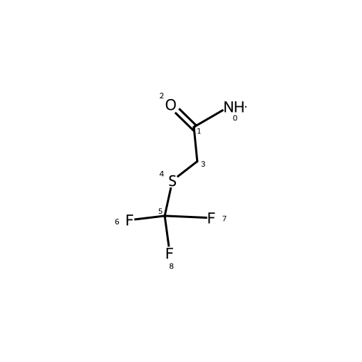 [NH]C(=O)CSC(F)(F)F